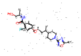 CC(C)c1nc(N2CCC([C@H](C)CCOc3ccc(C(=O)N[C@H](C)CO)c(F)c3)CC2)no1